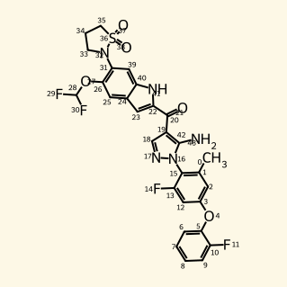 Cc1cc(Oc2ccccc2F)cc(F)c1-n1ncc(C(=O)c2cc3cc(OC(F)F)c(N4CCCS4(=O)=O)cc3[nH]2)c1N